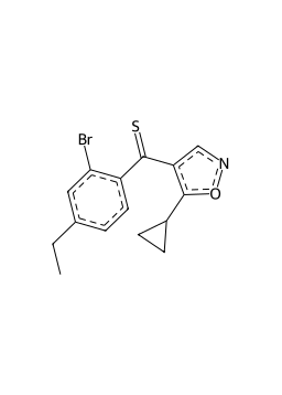 CCc1ccc(C(=S)c2cnoc2C2CC2)c(Br)c1